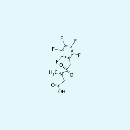 CN(CC(=O)O)S(=O)(=O)Cc1c(F)c(F)c(F)c(F)c1F